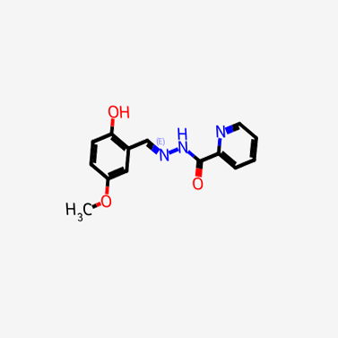 COc1ccc(O)c(/C=N/NC(=O)c2ccccn2)c1